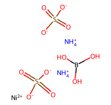 O=S(=O)([O-])[O-].O=S(=O)([O-])[O-].OB(O)O.[NH4+].[NH4+].[Ni+2]